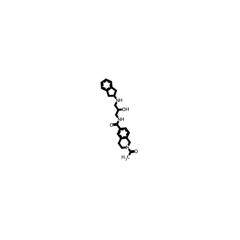 CC(=O)N1CCc2cc(C(=O)NCC(O)CNC3Cc4ccccc4C3)ccc2C1